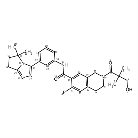 CC(C)(CO)C(=O)N1CCc2cc(F)c(C(=O)Nc3cccc(-c4nnc5n4C(C)(C)CC5)n3)cc2C1